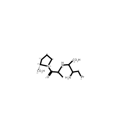 CC(C)CC(N)C(NC(C)C(=O)N1CCC[C@H]1C(=O)O)C(=O)O